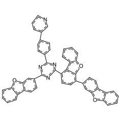 c1cncc(-c2ccc(-c3nc(-c4ccc5c(c4)oc4ccccc45)nc(-c4ccc(-c5ccc6c(c5)oc5ccccc56)c5oc6ccccc6c45)n3)cc2)c1